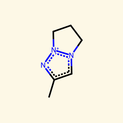 Cc1cn2[n+](n1)CCC2